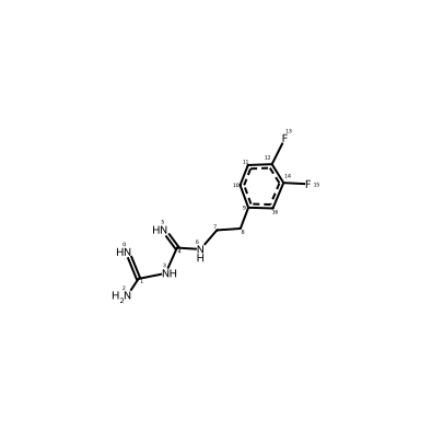 N=C(N)NC(=N)NCCc1ccc(F)c(F)c1